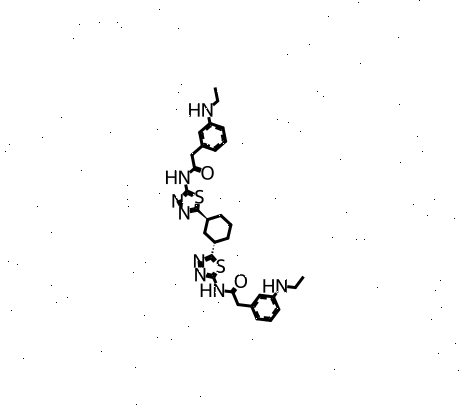 CCNc1cccc(CC(=O)Nc2nnc([C@H]3CCC[C@H](c4nnc(NC(=O)Cc5cccc(NCC)c5)s4)C3)s2)c1